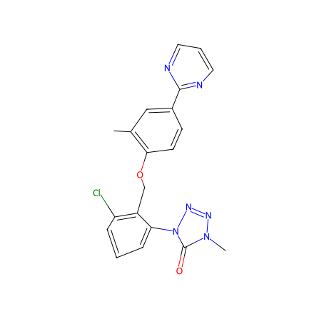 Cc1cc(-c2ncccn2)ccc1OCc1c(Cl)cccc1-n1nnn(C)c1=O